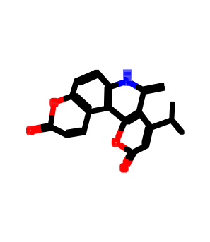 C=C1Nc2ccc3oc(=O)ccc3c2-c2oc(=O)cc(C(C)C)c21